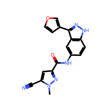 Cn1nc(C(=O)Nc2ccc3[nH]nc(-c4ccoc4)c3c2)cc1C#N